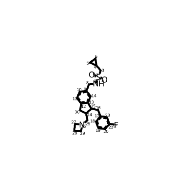 O=S(=O)(CC1CC1)NCc1ccc2c(c1)C(Cc1cccc(F)c1)C(CN1CCC1)C2